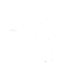 CC(C)Nc1cccc(Oc2ccc(OCc3ccccc3)cc2)c1